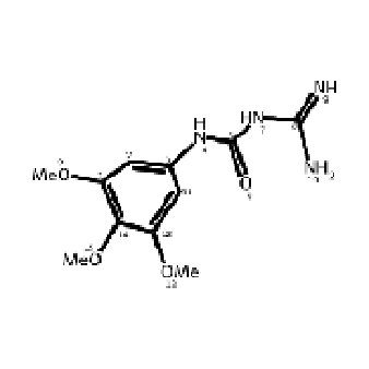 COc1cc(NC(=O)NC(=N)N)cc(OC)c1OC